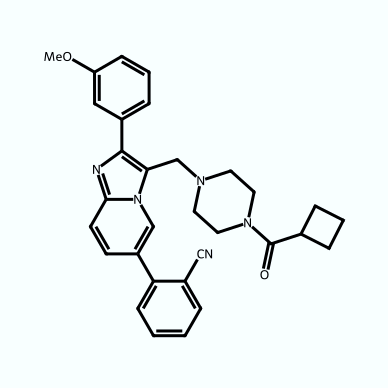 COc1cccc(-c2nc3ccc(-c4ccccc4C#N)cn3c2CN2CCN(C(=O)C3CCC3)CC2)c1